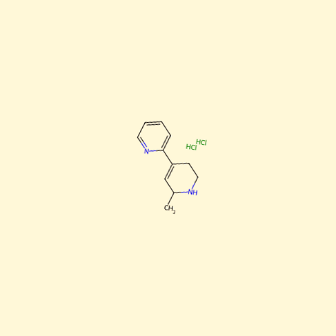 CC1C=C(c2ccccn2)CCN1.Cl.Cl